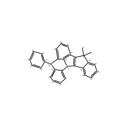 CC1(C)C2=C(B3c4ccccc4N(c4ccccc4)c4cccc2c43)c2ccccc21